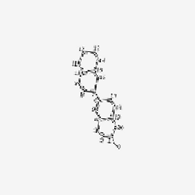 Cc1ccc2cc(-c3ccc4ccccc4c3)ccc2c1